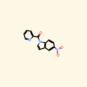 O=C(c1ccccn1)n1ccc2cc([N+](=O)[O-])ccc21